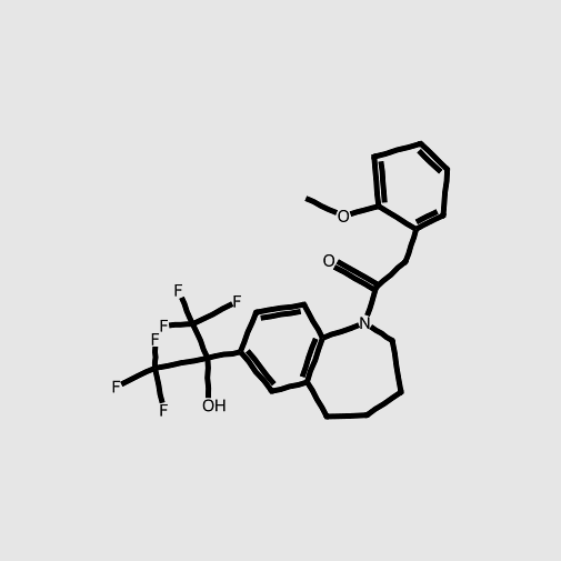 COc1ccccc1CC(=O)N1CCCCc2cc(C(O)(C(F)(F)F)C(F)(F)F)ccc21